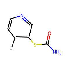 CCc1ccncc1SC(N)=O